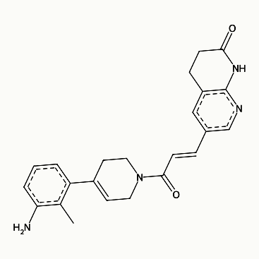 Cc1c(N)cccc1C1=CCN(C(=O)C=Cc2cnc3c(c2)CCC(=O)N3)CC1